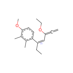 C=C=C(/C=C(/CC)c1ccc(OC)c(C)c1C)OCC